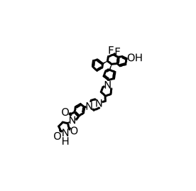 O=C1CC[C@@H](N2Cc3cc(N4CCN(CC5CCN(c6ccc([C@@H]7c8ccc(O)cc8C(F)(F)C[C@@H]7c7ccccc7)cc6)CC5)CC4)ccc3C2=O)C(=O)N1